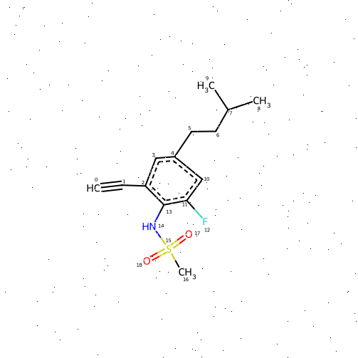 C#Cc1cc(CC[C](C)C)cc(F)c1NS(C)(=O)=O